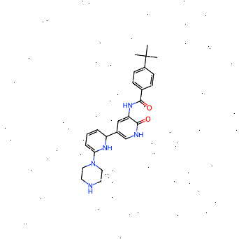 CC(C)(C)c1ccc(C(=O)Nc2cc(C3C=CC=C(N4CCNCC4)N3)c[nH]c2=O)cc1